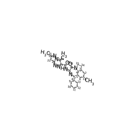 Cc1cc2c3c(c1)C(c1ccccc1)=N[C@@H](NC(=O)c1nnc4cc(C)nn4c1C)C(=O)N3CC2